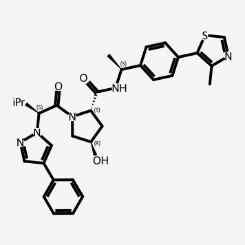 Cc1ncsc1-c1ccc([C@H](C)NC(=O)[C@@H]2C[C@@H](O)CN2C(=O)[C@H](C(C)C)n2cc(-c3ccccc3)cn2)cc1